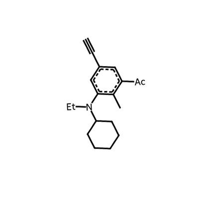 C#Cc1cc(C(C)=O)c(C)c(N(CC)C2CCCCC2)c1